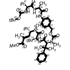 COC(=O)/C(C)=C/[C@H](C(C)C)N(C)C(=O)[C@@H](NC(=O)[C@@H](N(C)C(=O)OCc1ccc(NC(=O)[C@H](C)NC(=O)[C@@H](NC(=O)OC(C)(C)C)C(C)C)cc1)C(C)(C)c1ccccc1)C(C)(C)C